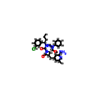 CCC[C@@H](NC(=O)N1C(=O)[C@H](Cc2cc(C)nc(N)c2)[C@H]1C(=O)N(C)c1ccccc1)c1cccc(Cl)c1